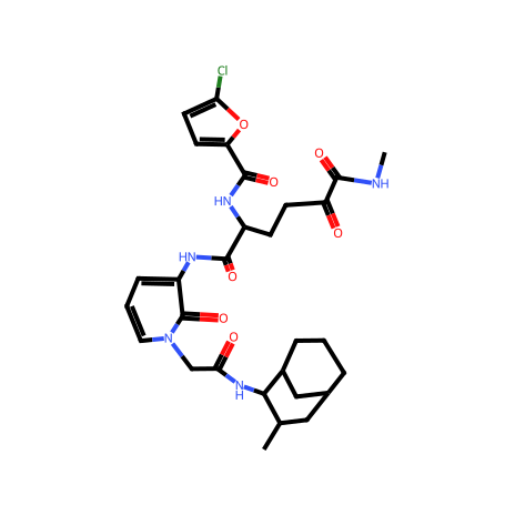 CNC(=O)C(=O)CCC(NC(=O)c1ccc(Cl)o1)C(=O)Nc1cccn(CC(=O)NC2C(C)CC3CCCC2C3)c1=O